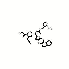 C=CC(=O)N1CCN(c2nc(OCC3CCCN3C)nn3c(Cc4c(O)ccc5ccccc45)cnc23)CC1CC#N